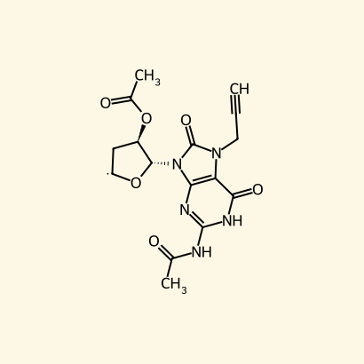 C#CCn1c(=O)n([C@@H]2O[CH]C[C@H]2OC(C)=O)c2nc(NC(C)=O)[nH]c(=O)c21